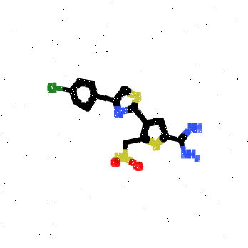 N=C(N)c1cc(-c2nc(-c3ccc(Cl)cc3)cs2)c(C[SH](=O)=O)s1